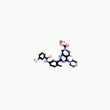 Cc1ccc(NC(=O)c2cccc(C(F)(F)F)c2)cc1-c1nc2c(c(N3CCOCC3)n1)CCN(C(=O)OC(C)(C)C)C2